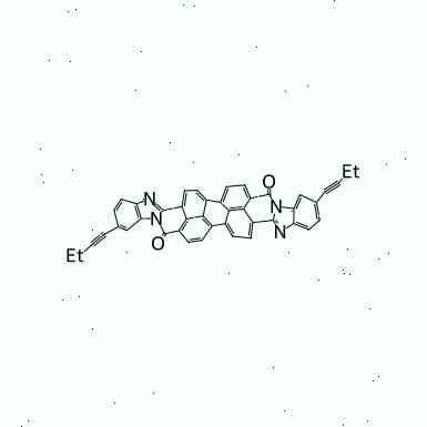 CCC#Cc1ccc2nc3c4ccc5c6ccc7c(=O)n8c9cc(C#CCC)ccc9nc8c8ccc(c9ccc(c(=O)n3c2c1)c4c95)c6c78